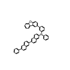 c1ccc(-c2ccc3cc(-c4ccc5cc(N(c6ccccc6)c6cccc(-c7ccc8oc9ccccc9c8c7)c6)ccc5c4)ccc3c2)cc1